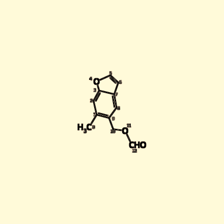 Cc1cc2occc2cc1COC=O